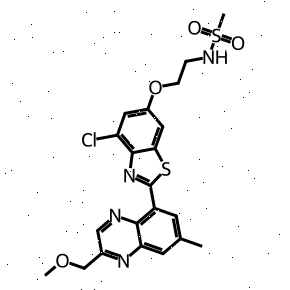 COCc1cnc2c(-c3nc4c(Cl)cc(OCCNS(C)(=O)=O)cc4s3)cc(C)cc2n1